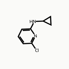 Clc1cccc(NC2CC2)n1